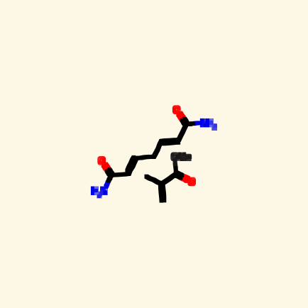 C=C(C)C(=O)OC.NC(=O)C=CCC=CC(N)=O